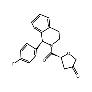 O=C1CO[C@H](C(=O)N2CCc3ccccc3[C@@H]2c2ccc(F)cc2)C1